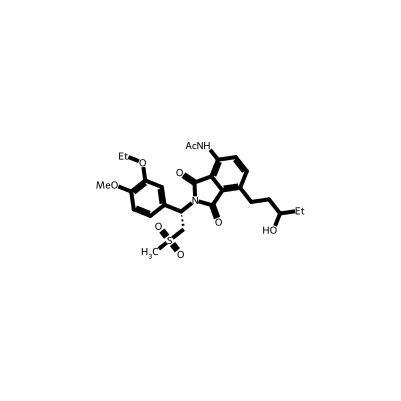 CCOc1cc([C@@H](CS(C)(=O)=O)N2C(=O)c3c(CCC(O)CC)ccc(NC(C)=O)c3C2=O)ccc1OC